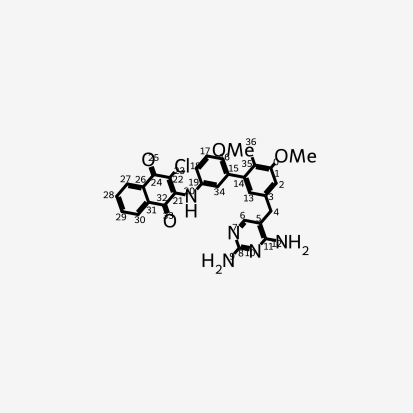 COc1cc(Cc2cnc(N)nc2N)cc(-c2cccc(NC3=C(Cl)C(=O)c4ccccc4C3=O)c2)c1OC